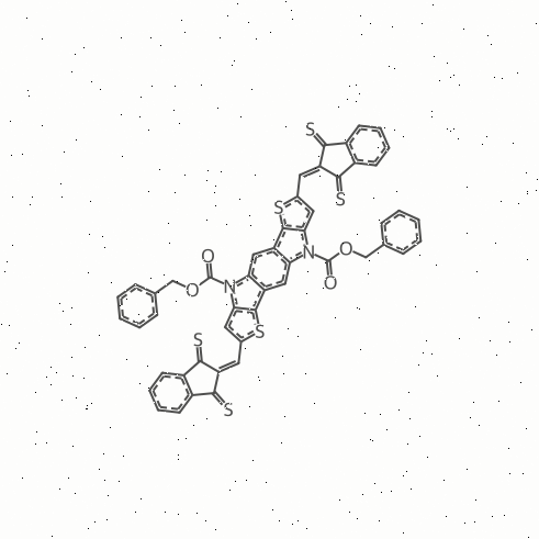 O=C(OCc1ccccc1)n1c2cc3c4sc(C=C5C(=S)c6ccccc6C5=S)cc4n(C(=O)OCc4ccccc4)c3cc2c2sc(C=C3C(=S)c4ccccc4C3=S)cc21